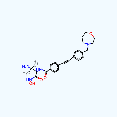 CC(C)(N)[C@H](NC(=O)c1ccc(C#Cc2ccc(CN3CCCOCC3)cc2)cc1)C(=O)NO